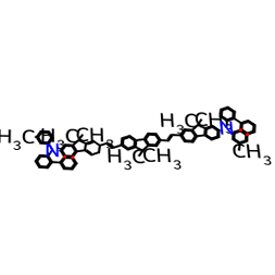 Cc1cccc(N(c2ccc3c(c2)C(C)(C)C2=CC(/C=C/c4ccc5c(c4)C(C)(C)c4cc(/C=C/c6ccc7c(c6)C(C)(C)c6cc(N(c8cccc(C)c8)c8ccccc8-c8ccccc8)ccc6-7)ccc4-5)CC=C23)c2ccccc2-c2ccccc2)c1